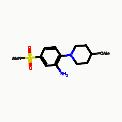 CNS(=O)(=O)c1ccc(N2CCC(OC)CC2)c(N)c1